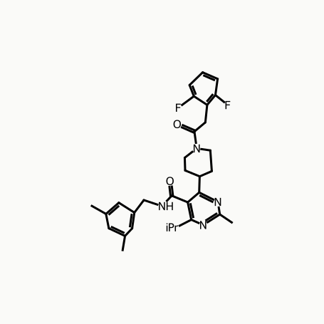 Cc1cc(C)cc(CNC(=O)c2c(C(C)C)nc(C)nc2C2CCN(C(=O)Cc3c(F)cccc3F)CC2)c1